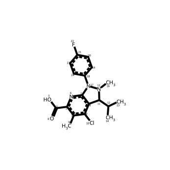 Cc1c(C(=O)O)nc2c(c1Cl)C(C(C)C)N(C)N2c1ccc(F)cc1